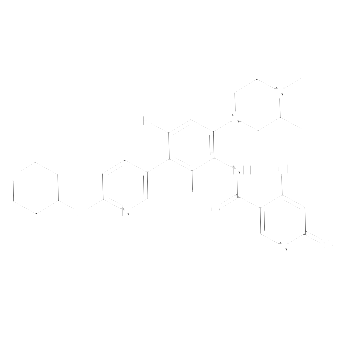 CC1CN(c2cc(F)c(-c3ccc(OC4CCOCC4)nc3)c(F)c2NC(=O)c2c[nH]c(=O)cc2C(F)(F)F)CCN1C